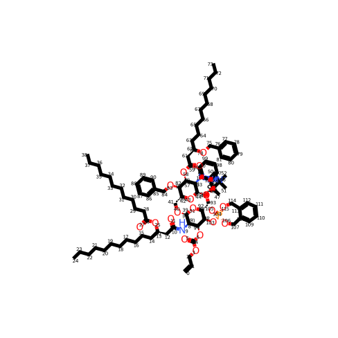 C=CCOC(=O)O[C@@H]1[C@@H](NC(=O)C[C@@H](CCCCCCCCCCC)OC(=O)CCCCCCCCCCC)[C@H](OC[C@H]2O[C@@H](O[Si](C)(C)C(C)(C)C)[C@H](N=[N+]=[N-])[C@@H](OC(=O)C[C@@H](CCCCCCCCCCC)OCc3ccccc3)[C@@H]2OCc2ccccc2)O[C@H](COCc2ccccc2)[C@H]1OP1(=O)OCc2ccccc2CO1